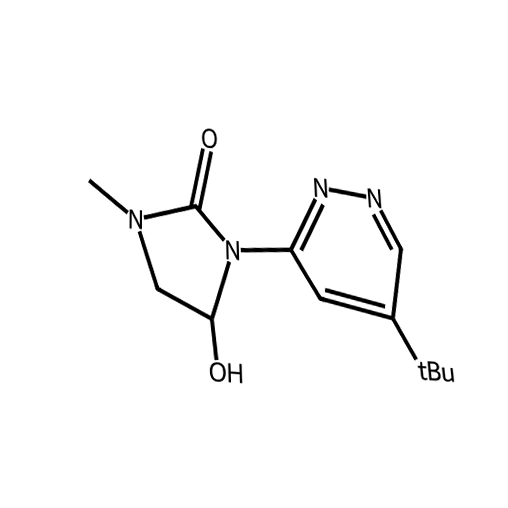 CN1CC(O)N(c2cc(C(C)(C)C)cnn2)C1=O